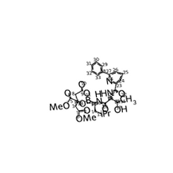 COC(=O)C[C@@]1(C(=O)OC)CC(=O)OB([C@H](CC(C)C)NC(=O)[C@@H](NC(=O)c2cccc(-c3ccccc3)n2)[C@@H](C)O)O1